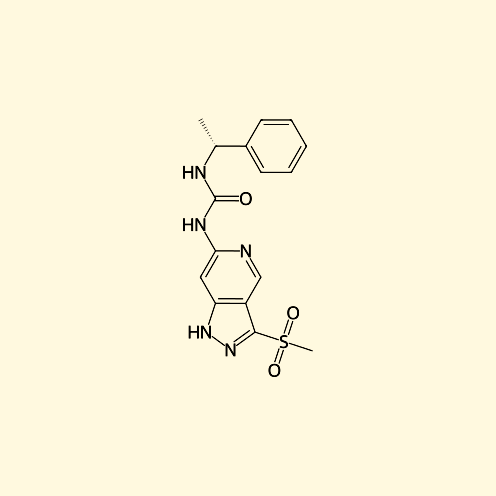 C[C@@H](NC(=O)Nc1cc2[nH]nc(S(C)(=O)=O)c2cn1)c1ccccc1